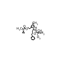 CN(C(=O)OCCc1cn(C)nc1C(CCCc1ccccc1)NC(=O)C(C)(C)N)C1CC1